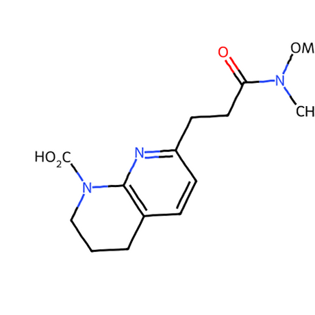 CON(C)C(=O)CCc1ccc2c(n1)N(C(=O)O)CCC2